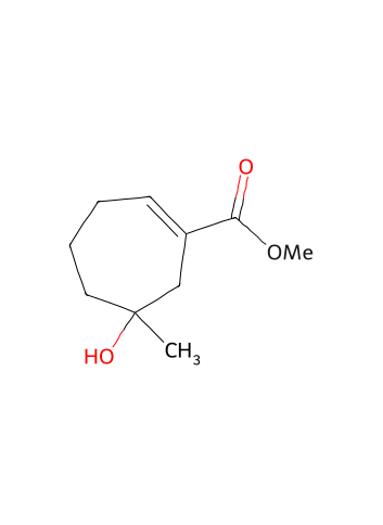 COC(=O)C1=CCCCC(C)(O)C1